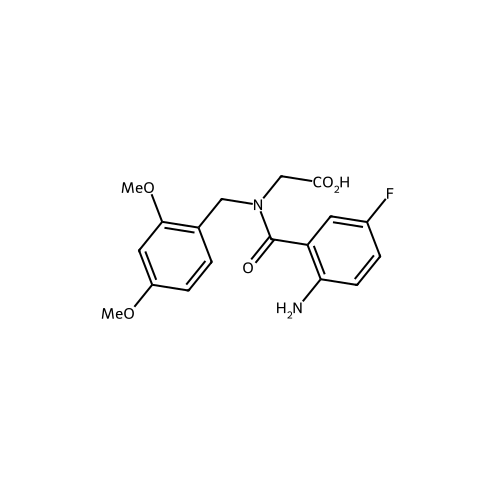 COc1ccc(CN(CC(=O)O)C(=O)c2cc(F)ccc2N)c(OC)c1